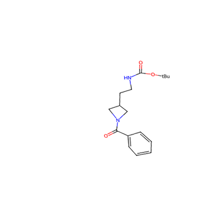 CC(C)(C)OC(=O)NCCC1CN(C(=O)c2ccccc2)C1